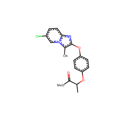 COC(=O)C(C)Oc1ccc(Oc2nc3ccc(Cl)cn3c2C#N)cc1